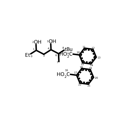 CCC(O)CC(O)C(C)C(C)(C)C.O=C(O)c1ccccc1.O=C(O)c1ccccc1